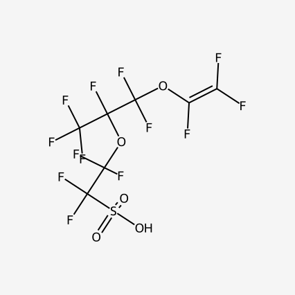 O=S(=O)(O)C(F)(F)C(F)(F)OC(F)(C(F)(F)F)C(F)(F)OC(F)=C(F)F